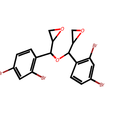 Brc1ccc(C(OC(c2ccc(Br)cc2Br)C2CO2)C2CO2)c(Br)c1